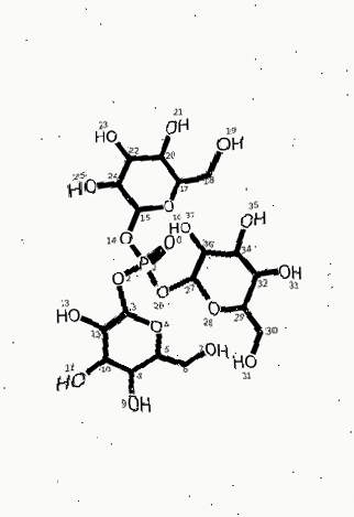 O=P(OC1OC(CO)C(O)C(O)C1O)(OC1OC(CO)C(O)C(O)C1O)OC1OC(CO)C(O)C(O)C1O